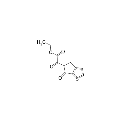 CCOC(=O)C(=O)C1Cc2ccsc2C1=O